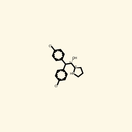 O[C@@H](C(c1ccc(Cl)cc1)c1ccc(Cl)cc1)[C@H]1CCCN1